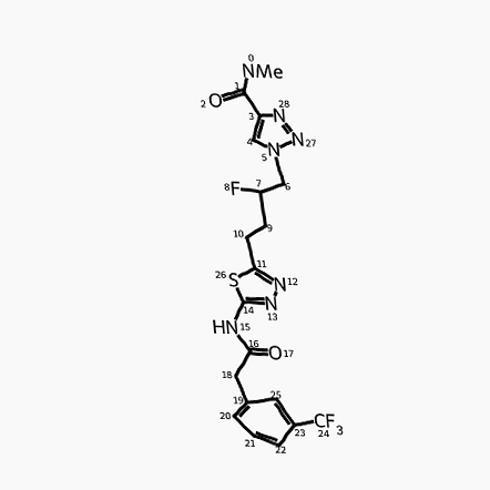 CNC(=O)c1cn(CC(F)CCc2nnc(NC(=O)Cc3cccc(C(F)(F)F)c3)s2)nn1